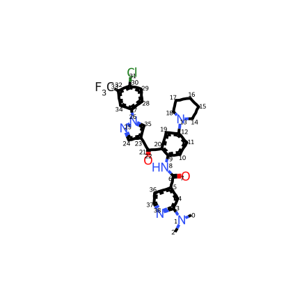 CN(C)c1cc(C(=O)Nc2ccc(N3CCCCC3)cc2C(=O)c2cnn(-c3ccc(Cl)c(C(F)(F)F)c3)c2)ccn1